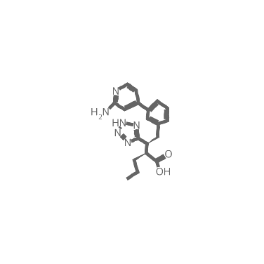 CCC[C@H](C(=O)O)[C@H](Cc1cccc(-c2ccnc(N)c2)c1)c1nn[nH]n1